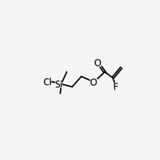 C=C(F)C(=O)OCC[Si](C)(C)Cl